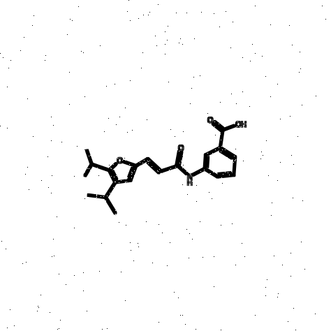 CC(C)c1cc(C=CC(=O)Nc2cccc(C(=O)O)c2)oc1C(C)C